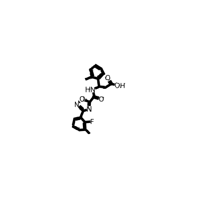 Cc1ccccc1C(CC(=O)O)NC(=O)c1nc(-c2cccc(C)c2F)no1